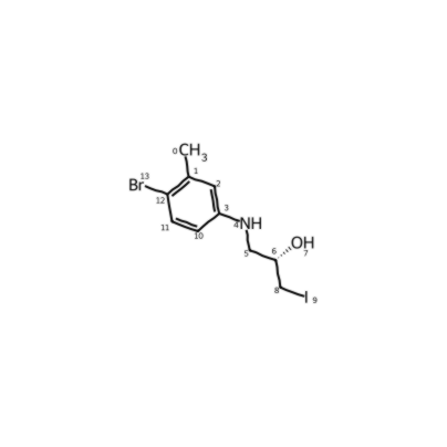 Cc1cc(NC[C@H](O)CI)ccc1Br